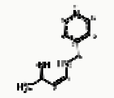 CC(=N)/C=C\NCc1ccncc1